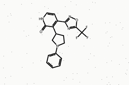 O=c1[nH]ccc(-c2noc(C(F)(F)F)n2)c1C1CCN(c2ccccc2)C1